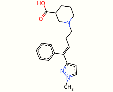 Cn1ccc(/C(=C/CCN2CCCC(C(=O)O)C2)c2ccccc2)n1